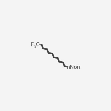 [CH2]CCCCCCCCCCCCCCCCCCC(F)(F)F